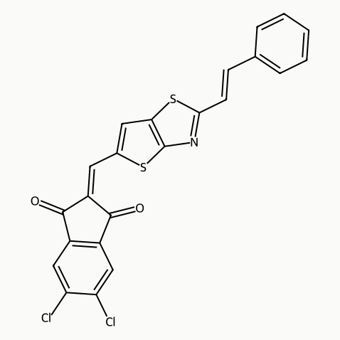 O=C1C(=Cc2cc3sc(/C=C/c4ccccc4)nc3s2)C(=O)c2cc(Cl)c(Cl)cc21